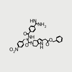 N=C(N)c1ccc(C(=O)N[C@@H](Cc2ccc([N+](=O)[O-])cc2)C(=O)N2CCc3[nH]c(CC(=O)OCc4ccccc4)cc3C2)cc1